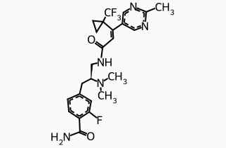 Cc1ncc(/C(=C/C(=O)NC[C@H](Cc2ccc(C(N)=O)c(F)c2)N(C)C)C2(C(F)(F)F)CC2)cn1